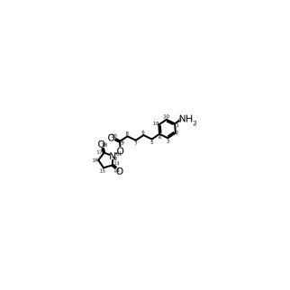 Nc1ccc(CCCCC(=O)ON2C(=O)CCC2=O)cc1